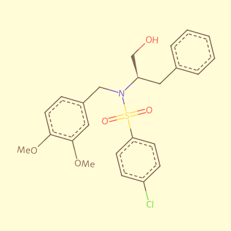 COc1ccc(CN([C@@H](CO)Cc2ccccc2)S(=O)(=O)c2ccc(Cl)cc2)cc1OC